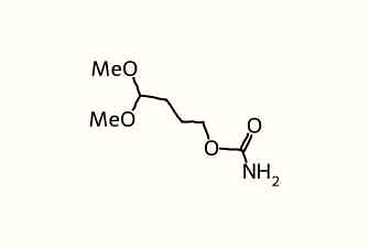 COC(CCCOC(N)=O)OC